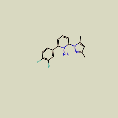 Cc1cc(C)n(C2C=CC=C(c3ccc(F)c(F)c3)N2N)n1